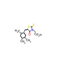 Cc1cc(C)c(C=C2SC(=S)N(CC(=O)O)C2=O)cc1C